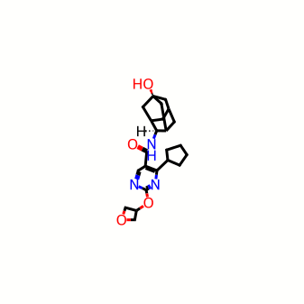 O=C(N[C@H]1C2CC3CC1C[C@@](O)(C3)C2)c1cnc(OC2COC2)nc1C1CCCC1